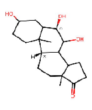 CC12CC[C@H]3C(C(O)[C@H](O)C4CC(O)CCC43C)C1CCC2=O